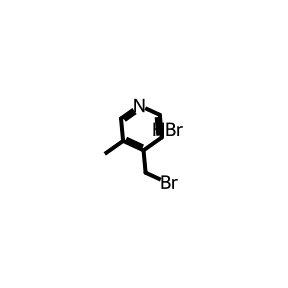 Br.Cc1cnccc1CBr